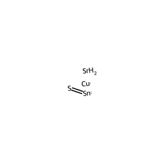 [Cu].[S]=[Sn].[SrH2]